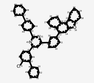 Clc1ccc(-c2cc(-c3cccc(-c4cc5oc6ccccc6c5c5ccccc45)c3)nc(-c3ccc(-c4ccccc4)cc3)n2)cc1-c1ccccc1